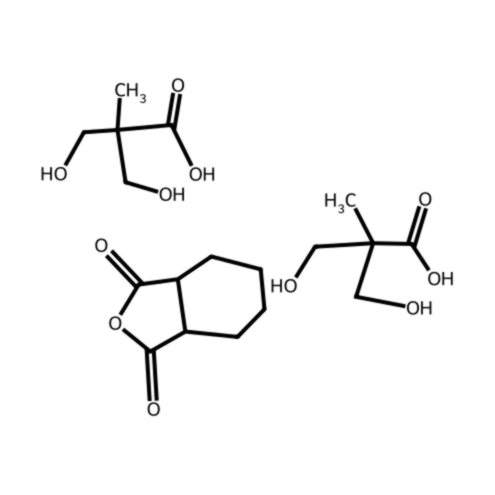 CC(CO)(CO)C(=O)O.CC(CO)(CO)C(=O)O.O=C1OC(=O)C2CCCCC12